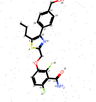 CCCc1sc(COc2ccc(F)c(C(N)=O)c2F)nc1-c1ccc(CO)cc1